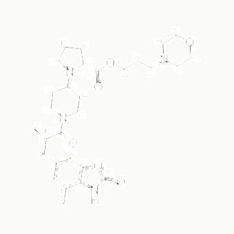 Cc1cc(C[C@@H](C)C(=O)N2CCC(N3CCC[C@@H]3C(=O)OCCCN3CCOCC3)CC2)cc2oc(=O)[nH]c12